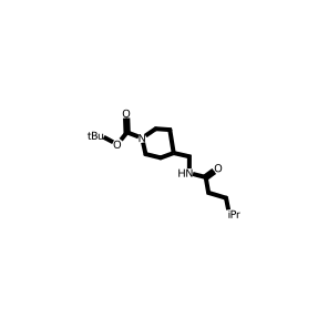 CC(C)CCC(=O)NCC1CCN(C(=O)OC(C)(C)C)CC1